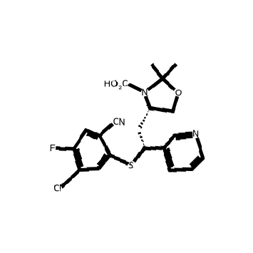 CC1(C)OC[C@H](C[C@@H](Sc2cc(Cl)c(F)cc2C#N)c2cccnc2)N1C(=O)O